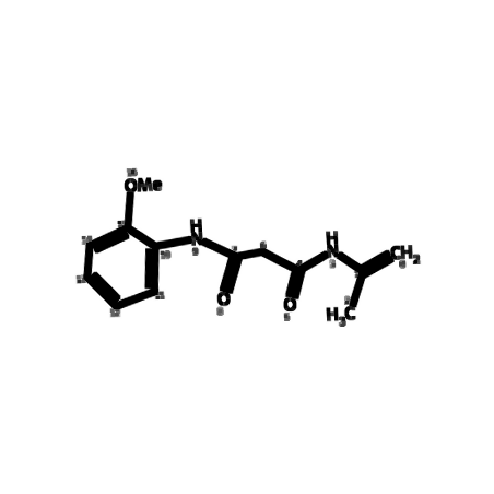 C=C(C)NC(=O)CC(=O)Nc1ccccc1OC